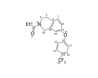 CCC(=O)N1CCc2ccc(Oc3ccc(C(F)(F)F)cc3)cc2C1